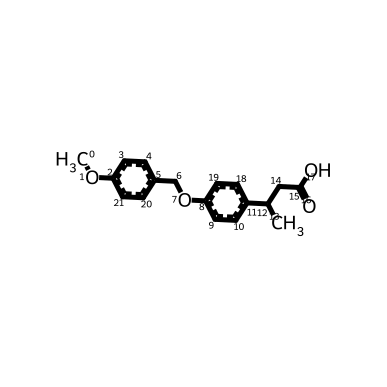 COc1ccc(COc2ccc(C(C)CC(=O)O)cc2)cc1